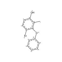 CCc1ccc(O)c(C)c1Oc1ccccc1